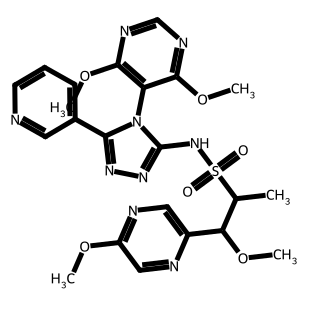 COc1cnc(C(OC)C(C)S(=O)(=O)Nc2nnc(-c3cccnc3)n2-c2c(OC)ncnc2OC)cn1